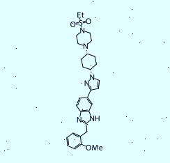 CCS(=O)(=O)N1CCN([C@H]2CC[C@@H](n3ccc(-c4ccc5nc(Cc6ccccc6OC)[nH]c5c4)n3)CC2)CC1